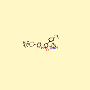 Cc1ccc(-c2cc(-c3ccc(C4CCC(C)(C)CC4)cc3)[nH]c(=O)c2-c2nn[nH]n2)cc1